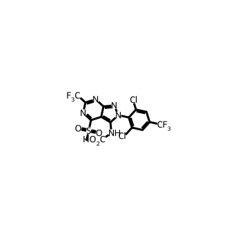 CS(=O)(=O)c1nc(C(F)(F)F)nc2nn(-c3c(Cl)cc(C(F)(F)F)cc3Cl)c(NC(=O)O)c12